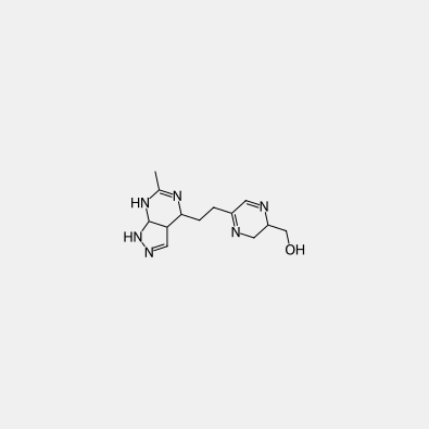 CC1=NC(CCC2=NCC(CO)N=C2)C2C=NNC2N1